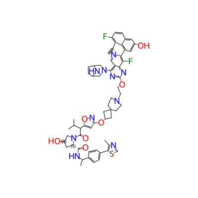 C#Cc1c(F)ccc2cc(O)cc(-c3ncc4c(N5CC6CCC(C5)N6)nc(OCCN5CCC6(CC5)CC(Oc5cc(C(C(=O)N7C[C@H](O)C[C@H]7C(=O)NC(C)c7ccc(-c8scnc8C)cc7)C(C)C)on5)C6)nc4c3F)c12